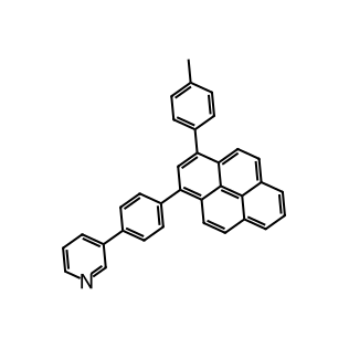 Cc1ccc(-c2cc(-c3ccc(-c4cccnc4)cc3)c3ccc4cccc5ccc2c3c54)cc1